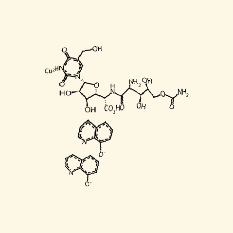 NC(=O)OC[C@H](O)[C@@H](O)[C@H](N)C(=O)N[C@H](C(=O)O)[C@H]1O[C@@H](n2cc(CO)c(=O)[nH]c2=O)[C@H](O)[C@@H]1O.[Cu+2].[O-]c1cccc2cccnc12.[O-]c1cccc2cccnc12